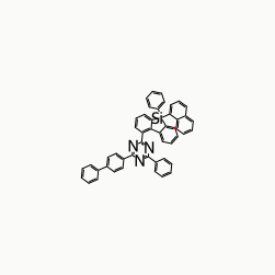 c1ccc(-c2ccc(-c3nc(-c4ccccc4)nc(-c4cccc5c4-c4ccccc4[Si]5(c4ccccc4)c4cccc5ccccc45)n3)cc2)cc1